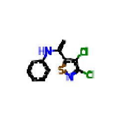 C=C(Nc1ccccc1)c1snc(Cl)c1Cl